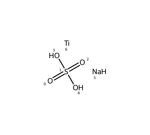 O=S(=O)(O)O.[NaH].[Ti]